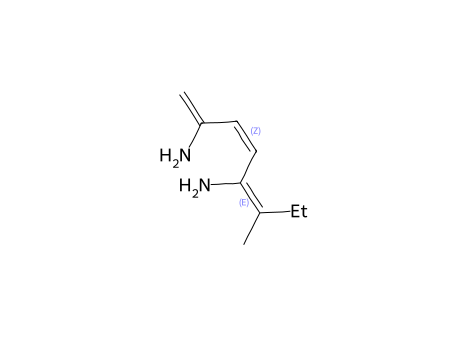 C=C(N)/C=C\C(N)=C(\C)CC